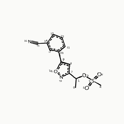 CC(OS(C)(=O)=O)c1cc(-c2cccc(C#N)c2)on1